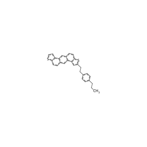 CCCc1ccc(CCc2cc3c(ccc4cc5c(ccc6sccc65)cc43)s2)cc1